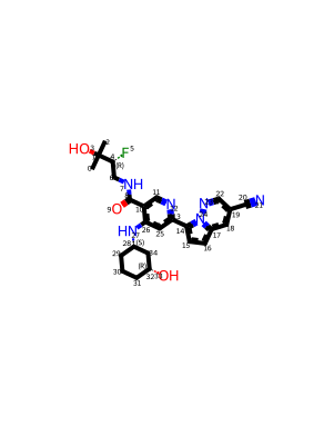 CC(C)(O)[C@H](F)CNC(=O)c1cnc(-c2ccc3cc(C#N)cnn23)cc1N[C@H]1CCC[C@@H](O)C1